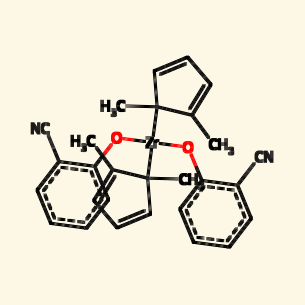 CC1=CC=C[C]1(C)[Zr]([O]c1ccccc1C#N)([O]c1ccccc1C#N)[C]1(C)C=CC=C1C